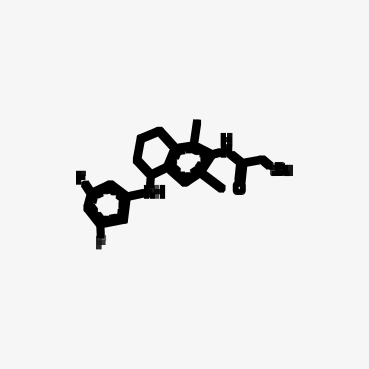 Cc1cc2c(c(C)c1NC(=O)CC(C)(C)C)CCCC2Nc1cc(F)cc(F)c1